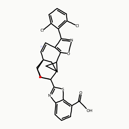 O=C(O)c1cccc2nc(C34CCC(/C=C\c5c(-c6c(Cl)cccc6Cl)noc5C5CC5)(CC3)CC4)sc12